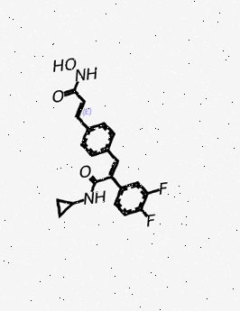 O=C(/C=C/c1ccc(C=C(C(=O)NC2CC2)c2ccc(F)c(F)c2)cc1)NO